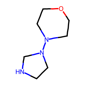 C1CN(N2CCOCC2)CN1